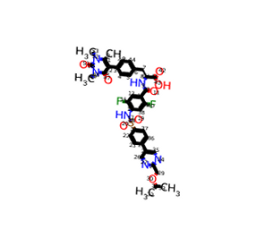 Cc1c(-c2ccc(C[C@H](NC(=O)c3cc(F)c(NS(=O)(=O)c4ccc(-c5cnc(COC(C)C)nc5)cc4)cc3F)C(=O)O)cc2)c(=O)n(C)c(=O)n1C